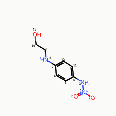 O=[N+]([O-])Nc1ccc(NCCO)cc1